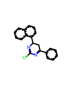 ClC1=NC(c2cccc3ccccc23)CC(c2ccccc2)=N1